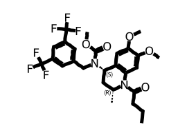 CCCC(=O)N1c2cc(OC)c(OC)cc2[C@@H](N(Cc2cc(C(F)(F)F)cc(C(F)(F)F)c2)C(=O)OC)C[C@H]1C